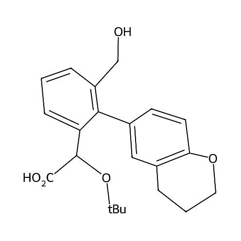 CC(C)(C)OC(C(=O)O)c1cccc(CO)c1-c1ccc2c(c1)CCCO2